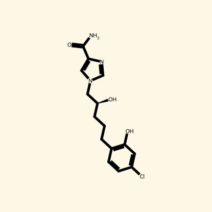 NC(=O)c1cn(C[C@@H](O)CCCc2ccc(Cl)cc2O)cn1